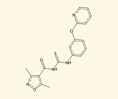 Cc1noc(C)c1C(=O)NC(=S)Nc1cccc(Oc2ccccn2)c1